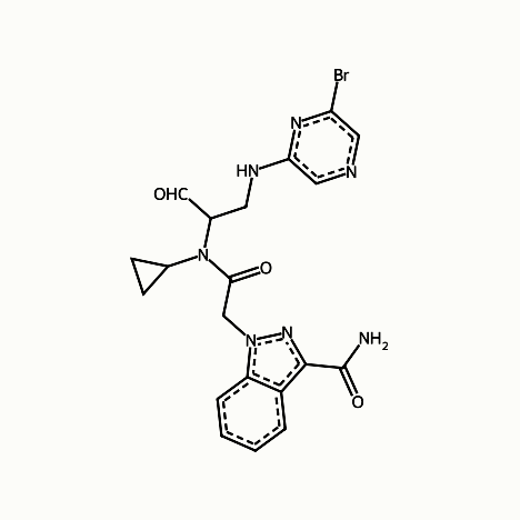 NC(=O)c1nn(CC(=O)N(C(C=O)CNc2cncc(Br)n2)C2CC2)c2ccccc12